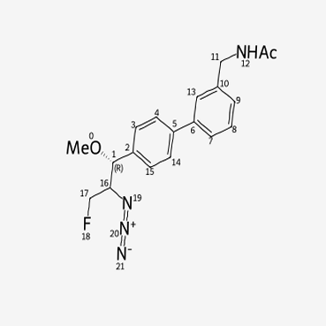 CO[C@H](c1ccc(-c2cccc(CNC(C)=O)c2)cc1)C(CF)N=[N+]=[N-]